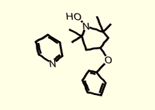 CC1(C)CC(Oc2ccccc2)CC(C)(C)N1O.c1ccncc1